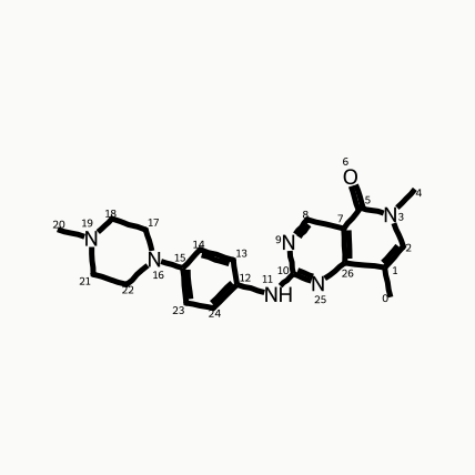 Cc1cn(C)c(=O)c2cnc(Nc3ccc(N4CCN(C)CC4)cc3)nc12